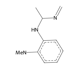 C=NC(C)Nc1ccccc1NC